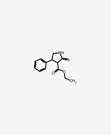 CCOC(=O)C1C(=S)NCC1c1ccccc1